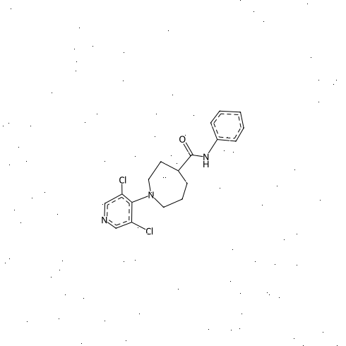 O=C(Nc1ccccc1)C1CCCN(c2c(Cl)cncc2Cl)CC1